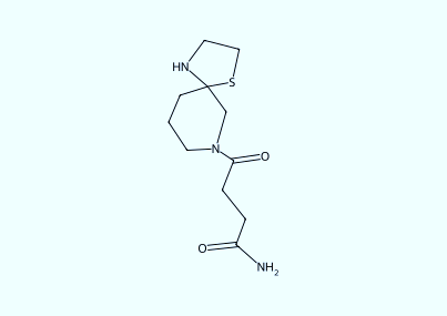 NC(=O)CCC(=O)N1CCCC2(C1)NCCS2